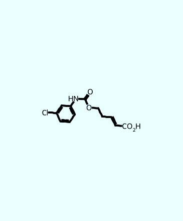 O=C(O)C=CCCOC(=O)Nc1cccc(Cl)c1